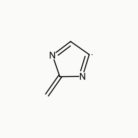 C=C1N=[C]C=N1